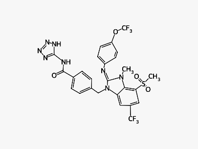 Cn1c(=Nc2ccc(OC(F)(F)F)cc2)n(Cc2ccc(C(=O)Nc3nnn[nH]3)cc2)c2cc(C(F)(F)F)cc(S(C)(=O)=O)c21